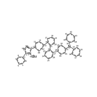 CC(C)(C)n1c(-c2ccccc2)nnc1-c1ccc(-c2ccccc2-c2ccccc2-c2ccc(N(c3ccccc3)c3ccccc3)cc2)cc1